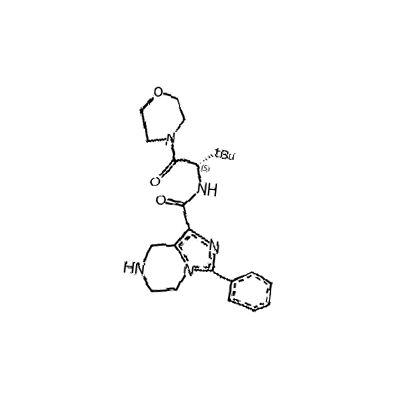 CC(C)(C)[C@H](NC(=O)c1nc(-c2ccccc2)n2c1CNCC2)C(=O)N1CCOCC1